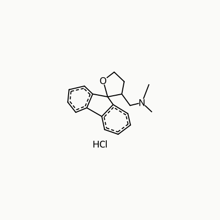 CN(C)CC1CCOC12c1ccccc1-c1ccccc12.Cl